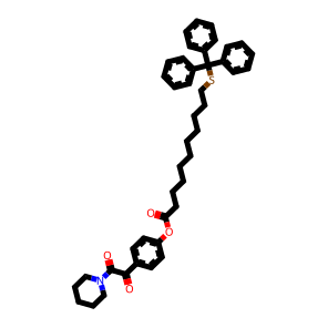 O=C(CCCCCCCCCCSC(c1ccccc1)(c1ccccc1)c1ccccc1)Oc1ccc(C(=O)C(=O)N2CCCCC2)cc1